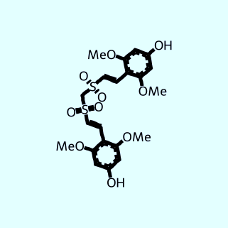 COc1cc(O)cc(OC)c1C=CS(=O)(=O)CS(=O)(=O)C=Cc1c(OC)cc(O)cc1OC